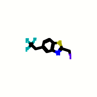 FC(F)(F)Cc1ccc2sc(CI)nc2c1